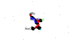 COc1ccc(CSc2cc(OCCCC3c4ccc(Cl)cc4N(C)C3(C(=O)O)c3c(CNCc4cc(CO[Si](C)(C)C(C)(C)C)n(C)n4)nn4c3CCC4)c3ccc(F)cc3c2)cc1